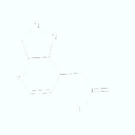 O=C(S)Oc1cccc2snnc12